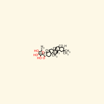 CC1O[C@@H](C(=O)[C@H]2CC[C@@]3(C)C(CC[C@]4(C)C3CC=C3C5CC(C)(C)CC[C@]5(C(=O)O)CC[C@]34C)C2(C)C)C(O)C(O)[C@@H]1O